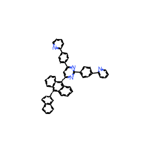 c1ccc(-c2ccc(-c3cc(-c4c5ccccc5c(-c5ccc6ccccc6c5)c5ccccc45)nc(-c4ccc(-c5ccccn5)cc4)n3)cc2)nc1